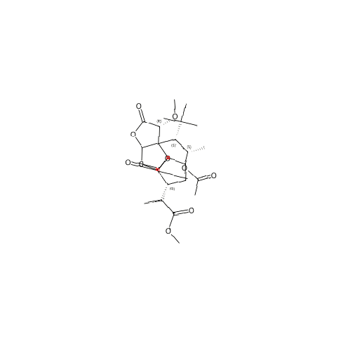 COC(=O)C(C)[C@H]1CCC23OC(=O)C12OC1OC(=O)[C@H](OC)C13[C@@H]([C@H](C)OC(C)=O)C(C)(C)C